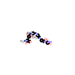 COc1cc(-c2cn(C)c(=O)c3c2COC3)cc(OC)c1CN1CCC(CN2CCC3(CC2)CN(c2ccc4c(c2)C(=O)N(C2CCC(=O)NC2=O)C4)C3)CC1